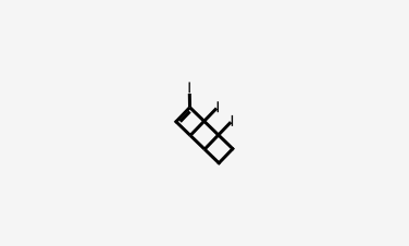 IC1=CC2C3CCC3(I)C12I